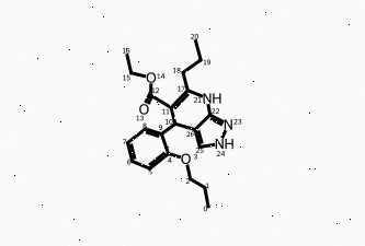 CCCOc1ccccc1C1C(C(=O)OCC)=C(CCC)Nc2n[nH]cc21